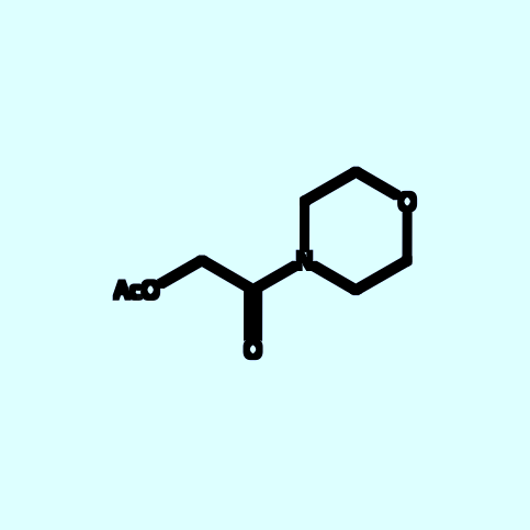 CC(=O)OCC(=O)N1CCOCC1